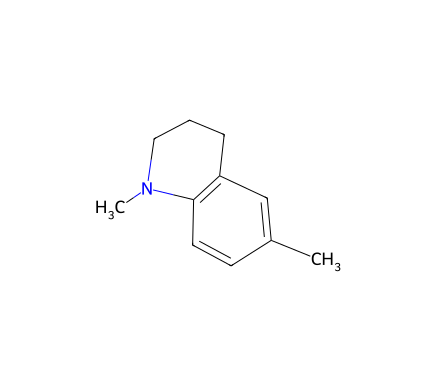 Cc1ccc2c(c1)CCCN2C